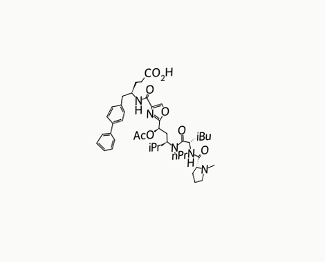 CCCN(C(=O)C(NC(=O)[C@H]1CCCN1C)[C@@H](C)CC)[C@H](C[C@@H](OC(C)=O)c1nc(C(=O)N[C@H](CCC(=O)O)Cc2ccc(-c3ccccc3)cc2)co1)C(C)C